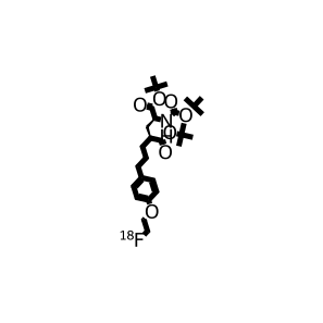 CC(C)(C)OC(=O)N[C@@H](C[C@H](CCCc1ccc(OCC[18F])cc1)C(=O)OC(C)(C)C)C(=O)OC(C)(C)C